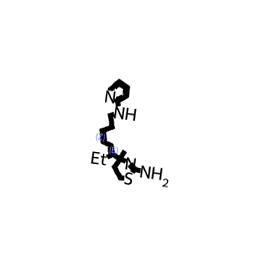 CC/C(=C\C=C/CCNc1ccccn1)C1(C)CCSC(N)=N1